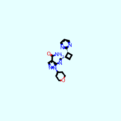 NC(=O)c1cnn(C2CCOCC2)c1/N=C/[C@H]1CC[C@H]1c1ncccn1